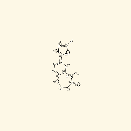 Cc1nnc(C2=CC=C3OCCC(=O)N(C)C3C2)o1